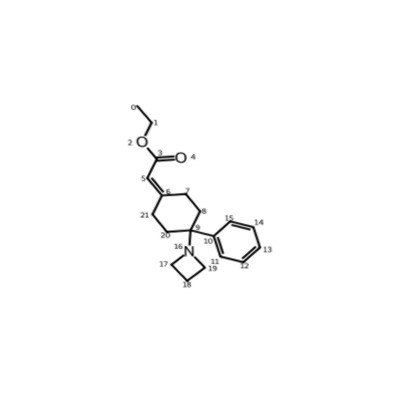 CCOC(=O)C=C1CCC(c2ccccc2)(N2CCC2)CC1